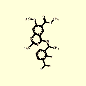 COC(=O)c1cc2c(NC(C)c3cccc(C(F)F)c3F)nc(C)nc2cc1OC